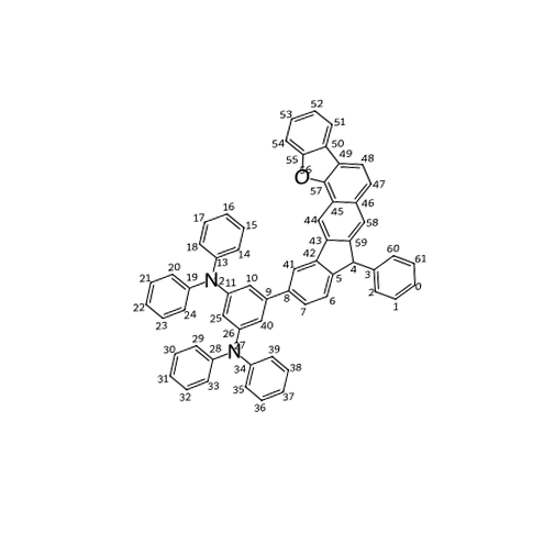 c1ccc(C2c3ccc(-c4cc(N(c5ccccc5)c5ccccc5)cc(N(c5ccccc5)c5ccccc5)c4)cc3-c3cc4c(ccc5c6ccccc6oc45)cc32)cc1